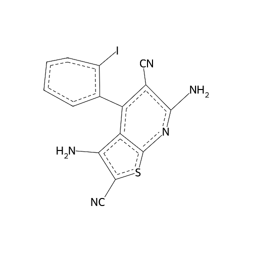 N#Cc1sc2nc(N)c(C#N)c(-c3ccccc3I)c2c1N